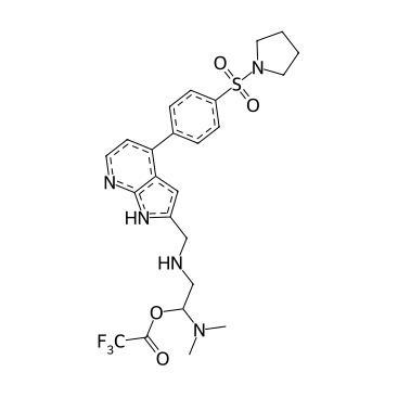 CN(C)C(CNCc1cc2c(-c3ccc(S(=O)(=O)N4CCCC4)cc3)ccnc2[nH]1)OC(=O)C(F)(F)F